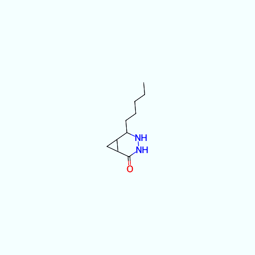 CCCCCC1NNC(=O)C2CC12